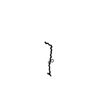 CCCC/C=C\CCCCCCCC(=O)OCCCCCC(C)C